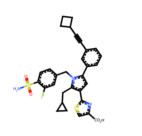 NS(=O)(=O)c1ccc(Cn2c(-c3cccc(C#CC4CCC4)c3)cc(-c3nc(C(=O)O)cs3)c2CC2CC2)cc1F